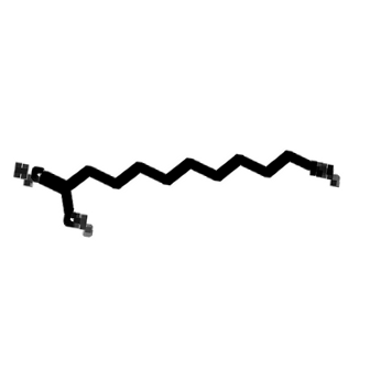 C=C(C)CCCCCCCCCN